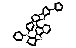 c1ccc(-c2ccc3c(c2)sc2c(-c4cc5c(oc6cccc(N(c7ccccc7)c7ccccc7)c65)c5ccccc45)cccc23)cc1